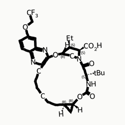 CC[C@@H]1[C@@H]2CN(C(=O)[C@H](C(C)(C)C)NC(=O)O[C@@H]3C[C@H]3CCCCCCc3nc4ccc(OCC(F)(F)F)cc4nc3O2)[C@@H]1C(=O)O